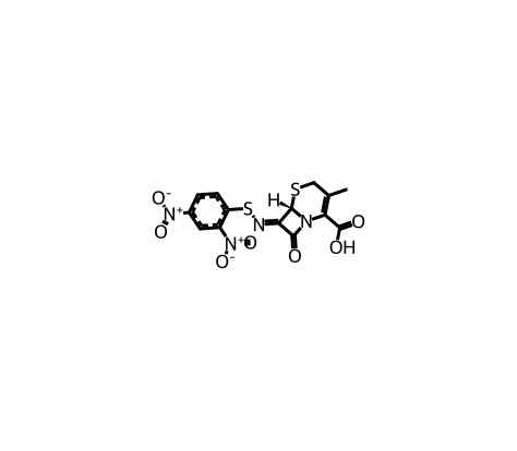 CC1=C(C(=O)O)N2C(=O)C(=NSc3ccc([N+](=O)[O-])cc3[N+](=O)[O-])[C@@H]2SC1